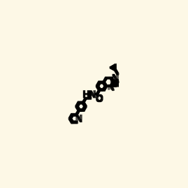 C[C@H]1C2Cc3ccc(C(=O)NCCc4ccc(-c5ccccn5)cc4)cc3[C@@]1(C)CCN2CC1CC1